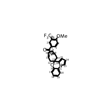 COc1ccc(C(=O)N2C3CCC2CC2(C3)Oc3ccccc3-n3cccc32)cc1C(F)(F)F